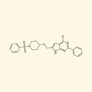 O=S(=O)(c1ccccc1)N1CCC(OCc2cc3c(Cl)nc(-c4ccccc4)nc3[nH]2)CC1